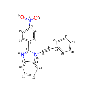 O=[N+]([O-])c1ccc(-c2nc3ccccc3n2C#Cc2ccccc2)cc1